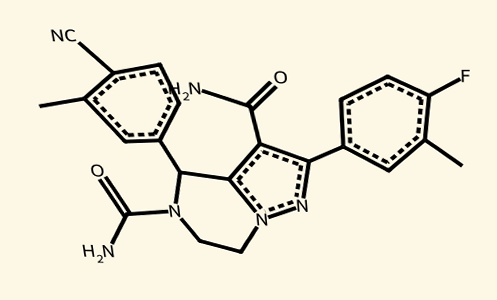 Cc1cc(-c2nn3c(c2C(N)=O)C(c2ccc(C#N)c(C)c2)N(C(N)=O)CC3)ccc1F